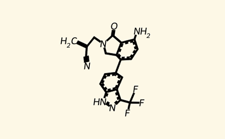 C=C(C#N)CN1Cc2c(-c3ccc4[nH]nc(C(F)(F)F)c4c3)ccc(N)c2C1=O